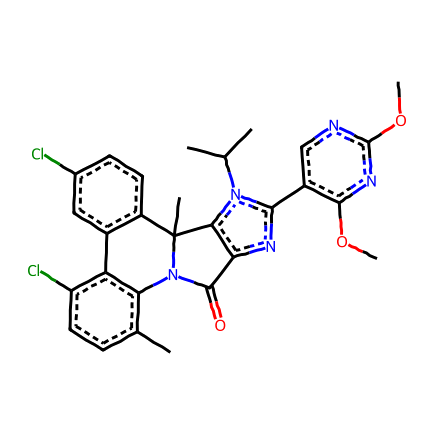 COc1ncc(-c2nc3c(n2C(C)C)C2(C)c4ccc(Cl)cc4-c4c(Cl)ccc(C)c4N2C3=O)c(OC)n1